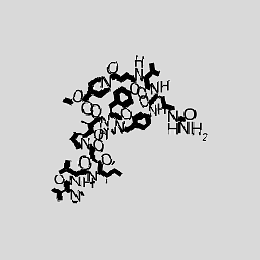 CCOC(=O)C1CCN(C(=O)CCC(=O)N[C@H](C(=O)N[C@@H](CCCNC(N)=O)C(=O)Nc2ccc(CN(C)C(=O)[C@H](Cc3ccccc3)NC(=O)[C@H](C)[C@@H](OC)[C@@H]3CCCN3C(=O)C[C@@H](OC)[C@H]([C@@H](C)CC)N(C)C(=O)[C@@H](NC(=O)[C@H](C(C)C)N(C)C)C(C)C)cc2)C(C)C)CC1